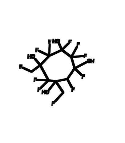 OC1(F)C(F)C(O)(CF)C(F)(F)C(O)(CF)C(F)(F)C(O)(F)C1(F)F